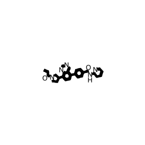 C=CC(=O)N1CCC(c2ccc(-c3ccc(C(=O)NC4CC=CC=N4)cc3)c3cncnc23)C1